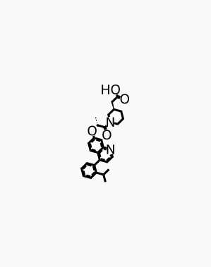 CC(C)c1ccccc1-c1ccnc2cc(O[C@H](C)C(=O)N3CCC[C@H](CC(=O)O)C3)ccc12